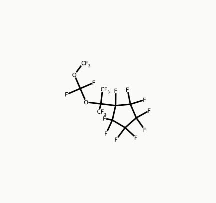 FC(F)(F)OC(F)(F)OC(C(F)(F)F)(C(F)(F)F)C1(F)C(F)(F)C(F)(F)C(F)(F)C1(F)F